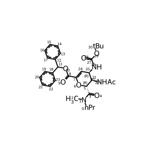 CCCN(C)C(=O)[C@@H]1OC(C(=O)OC(c2ccccc2)c2ccccc2)=C[C@@H](NC(=O)OC(C)(C)C)[C@H]1NC(C)=O